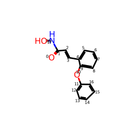 O=C(/C=C/c1ccccc1Oc1ccccc1)NO